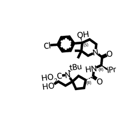 CC(C)[C@@H](NC(=O)[C@@H]1CCC(CCO)(N(C(=O)O)C(C)(C)C)C1)C(=O)N1CC[C@](O)(c2ccc(Cl)cc2)C(C)(C)C1